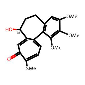 COc1cc2c(c(OC)c1OC)-c1ccc(SC)c(=O)cc1[C@@H](O)CC2